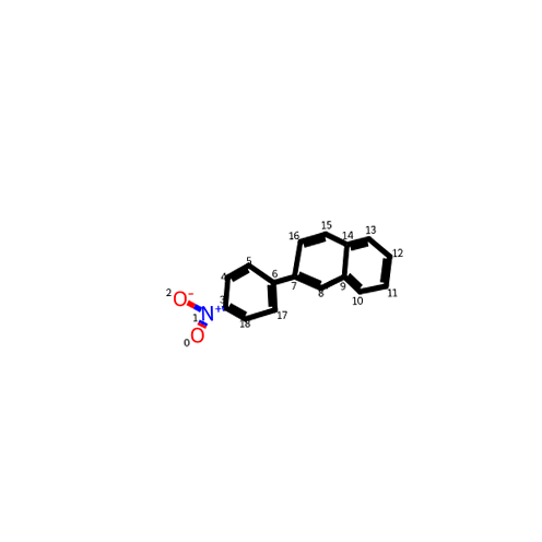 O=[N+]([O-])c1ccc(-c2[c]c3ccccc3cc2)cc1